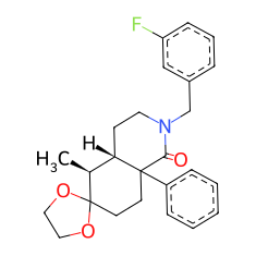 C[C@H]1[C@@H]2CCN(Cc3cccc(F)c3)C(=O)C2(c2ccccc2)CCC12OCCO2